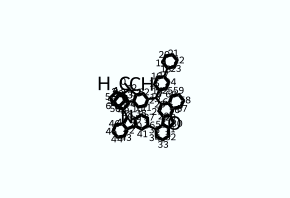 CC1(C)c2ccccc2-c2ccc(C(c3ccc(-c4ccccc4)cc3)c3cc4c(oc5cccc(-c6ccc7c(c6)c6ccccc6n7-c6ccccc6)c54)c4ccccc34)cc21